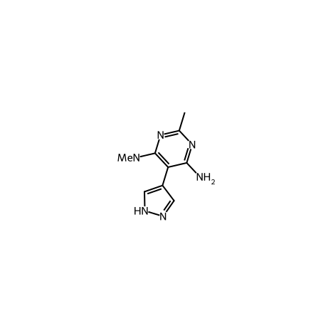 CNc1nc(C)nc(N)c1-c1cn[nH]c1